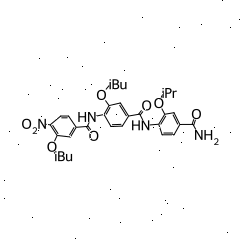 CCC(C)Oc1cc(C(=O)Nc2ccc(C(N)=O)cc2OC(C)C)ccc1NC(=O)c1ccc([N+](=O)[O-])c(OC(C)CC)c1